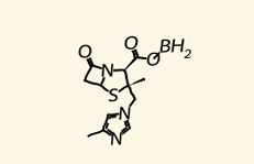 BOC(=O)[C@@H]1N2C(=O)CC2S[C@@]1(C)Cn1cnc(C)c1